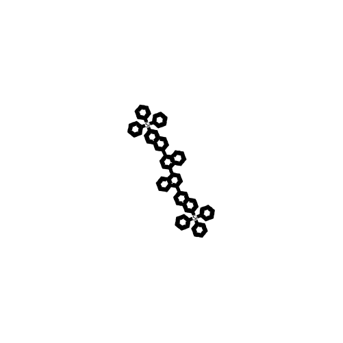 c1ccc([Si](c2ccccc2)(c2ccccc2)c2ccc3cc(-c4ccc(-c5ccc(-c6ccc7cc([Si](c8ccccc8)(c8ccccc8)c8ccccc8)ccc7c6)c6ccccc56)c5ccccc45)ccc3c2)cc1